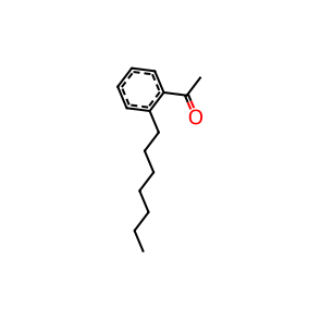 CCCCCCCc1ccccc1C(C)=O